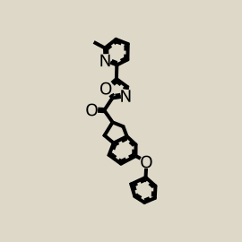 Cc1cccc(-c2cnc(C(=O)C3Cc4ccc(Oc5ccccc5)cc4C3)o2)n1